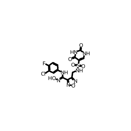 O=c1[nH]cc(S(=O)(=O)NCc2nonc2/C(=N/O)Nc2ccc(F)c(Cl)c2)c(=O)[nH]1